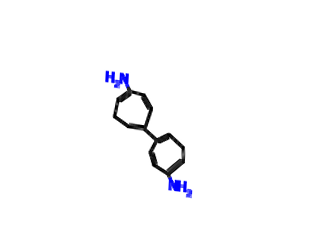 NC1=CCC=C(C2=CCC=C(N)C=C2)C=C1